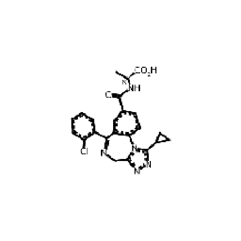 C[C@H](NC(=O)c1ccc2c(c1)C(c1ccccc1Cl)=NCc1nnc(C3CC3)n1-2)C(=O)O